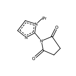 CC(C)n1ccnc1N1C(=O)CCC1=O